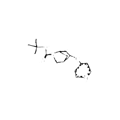 CC(C)(C)OC(=O)N1CC2CC1CC2Oc1ccncc1